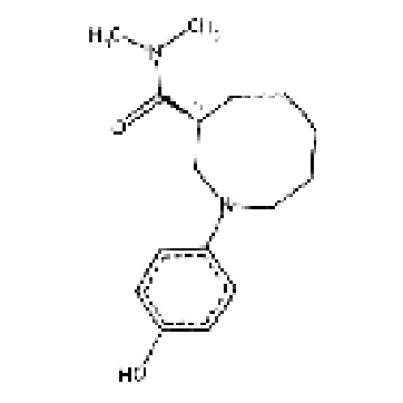 CN(C)C(=O)[C@H]1CCCCCN(c2ccc(O)cc2)C1